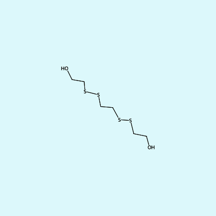 OCCSSCCSSCCO